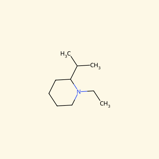 CCN1CCCCC1C(C)C